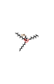 CCCCCCCCO[Si](CCCS)(OCCCCCCCC)OCCCCCCCC